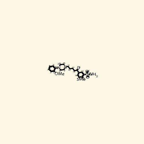 COc1ccccc1N1CCN(CCCCC(=O)c2ccc(SC)c(S(N)(=O)=O)c2)CC1